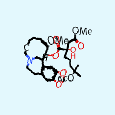 COC(=O)C[C@](O)(CCCC(C)(C)OC(C)=O)C(=O)O[C@@H]1/C(OC)=C\CCCCN2CCc3cc4c(cc3[C@H]1C2)OCO4